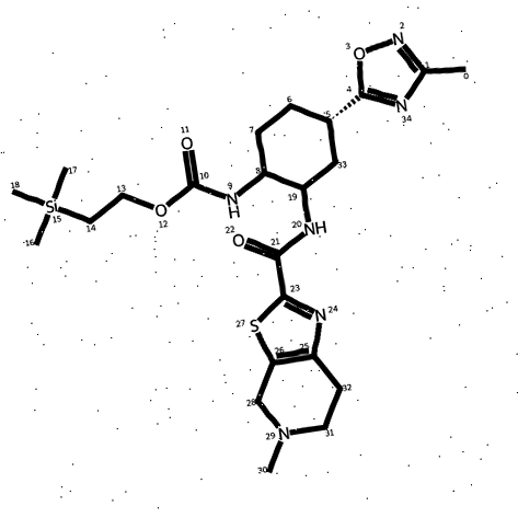 Cc1noc([C@H]2CCC(NC(=O)OCC[Si](C)(C)C)C(NC(=O)c3nc4c(s3)CN(C)CC4)C2)n1